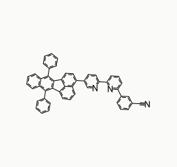 N#Cc1cccc(-c2cccc(-c3ccc(-c4ccc5c6c(cccc46)-c4c-5c(-c5ccccc5)c5ccccc5c4-c4ccccc4)cn3)n2)c1